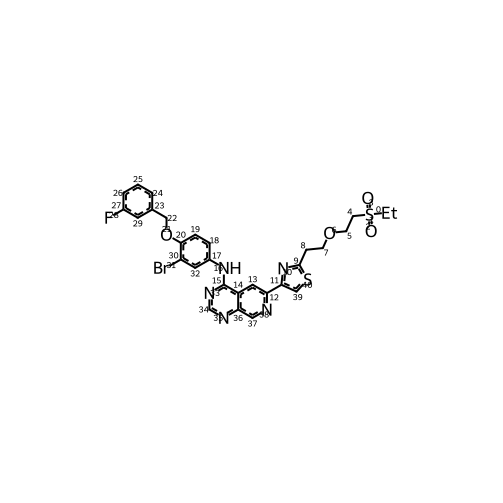 CCS(=O)(=O)CCOCCc1nc(-c2cc3c(Nc4ccc(OCc5cccc(F)c5)c(Br)c4)ncnc3cn2)cs1